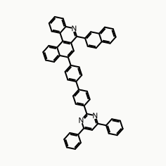 c1ccc(-c2cc(-c3ccccc3)nc(-c3ccc(-c4ccc(-c5cc6c(-c7ccc8ccccc8c7)nc7ccccc7c6c6ccccc56)cc4)cc3)n2)cc1